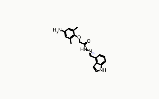 Cc1cc(N)cc(C)c1OCC(=O)N/N=C/c1cccc2[nH]ccc12